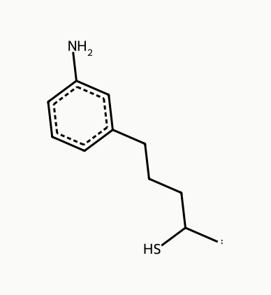 [CH]C(S)CCCc1cccc(N)c1